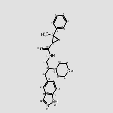 C[C@]1(c2ccccc2)C[C@H]1C(=O)NC[C@H](Cc1ccc2[nH]ncc2c1)N1CCOCC1